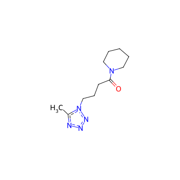 Cc1nnnn1CCCC(=O)N1CCCCC1